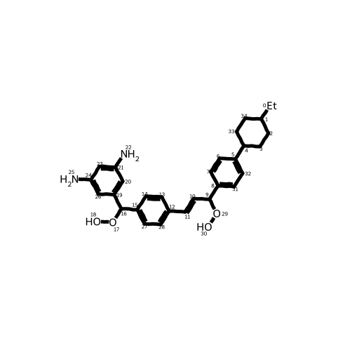 CCC1CCC(c2ccc(C(/C=C/c3ccc(C(OO)c4cc(N)cc(N)c4)cc3)OO)cc2)CC1